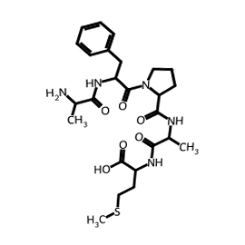 CSCCC(NC(=O)C(C)NC(=O)C1CCCN1C(=O)C(Cc1ccccc1)NC(=O)C(C)N)C(=O)O